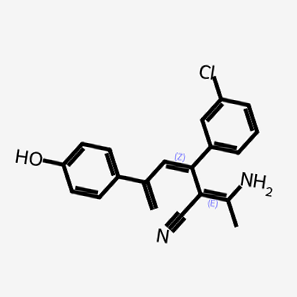 C=C(/C=C(\C(C#N)=C(\C)N)c1cccc(Cl)c1)c1ccc(O)cc1